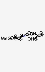 C=C(C)C(=O)OCC(C)(CCOc1ccc2c(c1)CCc1cc(/C=C/C(=O)Oc3ccc(OC(=O)c4ccc(OC)cc4)cc3C)ccc1-2)COC=O